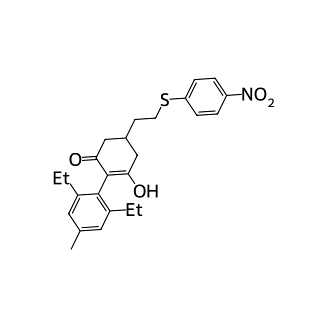 CCc1cc(C)cc(CC)c1C1=C(O)CC(CCSc2ccc([N+](=O)[O-])cc2)CC1=O